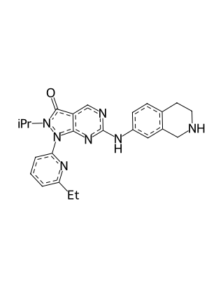 CCc1cccc(-n2c3nc(Nc4ccc5c(c4)CNCC5)ncc3c(=O)n2C(C)C)n1